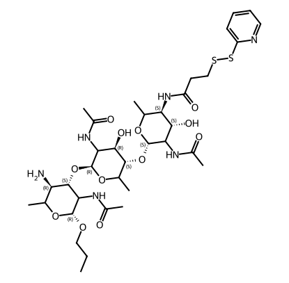 CCCO[C@@H]1OC(C)[C@@H](N)[C@H](O[C@@H]2OC(C)[C@@H](O[C@@H]3OC(C)[C@@H](NC(=O)CCSSc4ccccn4)[C@H](O)C3NC(C)=O)[C@H](O)C2NC(C)=O)C1NC(C)=O